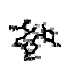 COCCN(C(=N)N)C(=O)[C@H](c1cc(C#N)ccc1C)[C@H]1CC[C@H](OC)[C@@H](C)C1